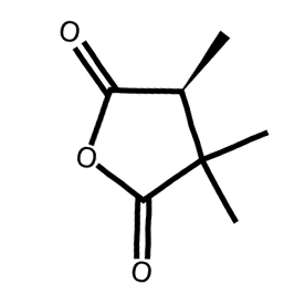 C[C@@H]1C(=O)OC(=O)C1(C)C